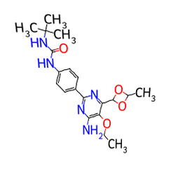 CCOc1c(N)nc(-c2ccc(NC(=O)NC(C)(C)C)cc2)nc1C1OC(C)O1